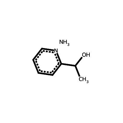 CC(O)c1ccccn1.N